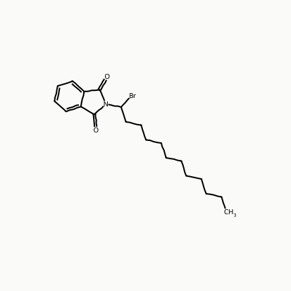 CCCCCCCCCCCC(Br)N1C(=O)c2ccccc2C1=O